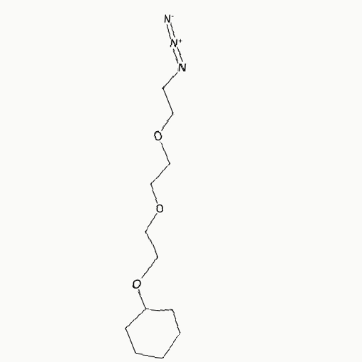 [N-]=[N+]=NCCOCCOCCOC1CCCCC1